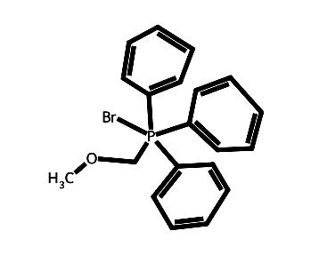 COCP(Br)(c1ccccc1)(c1ccccc1)c1ccccc1